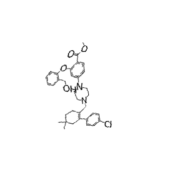 COC(=O)c1ccc(N2CCN(CC3=C(c4ccc(Cl)cc4)CC(C)(C)CC3)CC2)cc1Oc1ccccc1CO